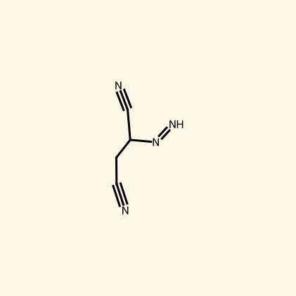 N#CCC(C#N)N=N